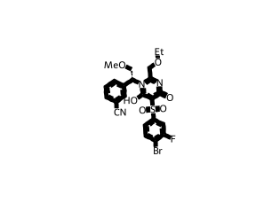 CCOCc1nc(=O)c(S(=O)(=O)c2ccc(Br)c(F)c2)c(O)n1[C@@H](COC)c1cccc(C#N)c1